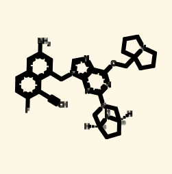 C#Cc1c(F)ccc2cc(N)cc(Cn3cnc4c(OCC56CCCN5CCC6)nc(N5C[C@H]6CC[C@@H](C5)N6)nc43)c12